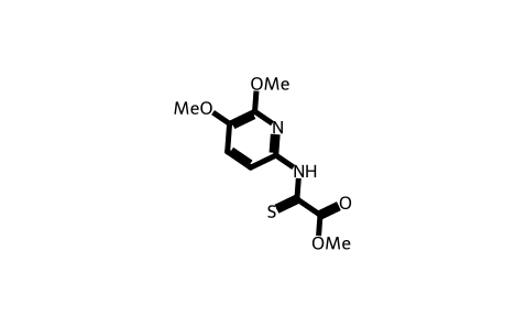 COC(=O)C(=S)Nc1ccc(OC)c(OC)n1